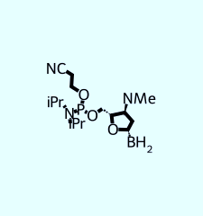 B[C@H]1C[C@H](NC)[C@@H](COP(OCCC#N)N(C(C)C)C(C)C)O1